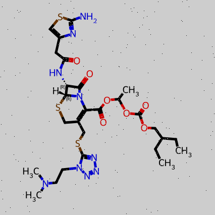 CCC(CC)COC(=O)OC(C)OC(=O)C1=C(CSc2nnnn2CCN(C)C)CS[C@@H]2[C@H](NC(=O)Cc3csc(N)n3)C(=O)N12